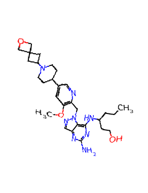 CCCC(CCO)Nc1nc(N)nc2cnn(Cc3ncc(C4CCN(C5CC6(COC6)C5)CC4)cc3OC)c12